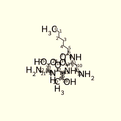 CCCCCCC(=O)N[C@@H](CCN)C(=O)N[C@H](C(=O)N[C@H](CN)C(=O)O)[C@@H](C)O